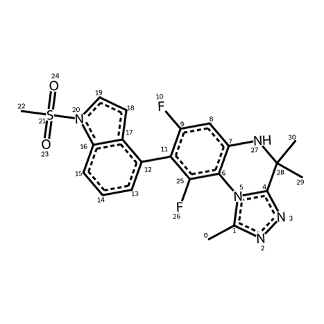 Cc1nnc2n1-c1c(cc(F)c(-c3cccc4c3ccn4S(C)(=O)=O)c1F)NC2(C)C